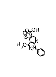 COc1c(C(=O)O)cnc2c1c(C)nn2-c1ccccc1